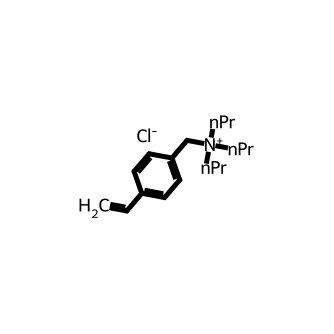 C=Cc1ccc(C[N+](CCC)(CCC)CCC)cc1.[Cl-]